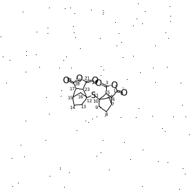 O=C1OC(=O)C2C1C1CCC2(SC23CCC(C2)C2C(=O)OC(=O)C23)C1